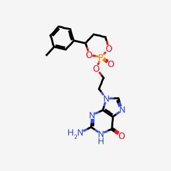 Cc1cccc(C2CCOP(=O)(OCCn3cnc4c(=O)[nH]c(N)nc43)O2)c1